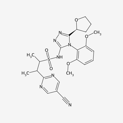 COc1cccc(OC)c1-n1c(NS(=O)(=O)C(C)C(C)c2ncc(C#N)cn2)nnc1[C@@H]1CCCO1